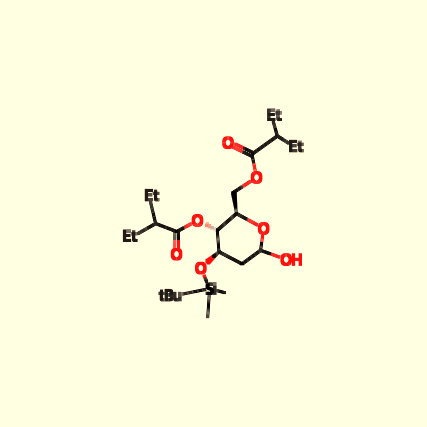 CCC(CC)C(=O)OC[C@H]1OC(O)C[C@@H](O[Si](C)(C)C(C)(C)C)[C@@H]1OC(=O)C(CC)CC